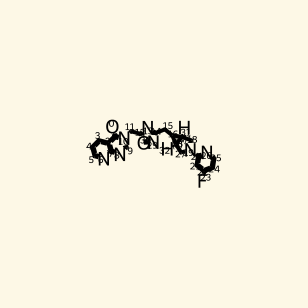 O=c1c2cccnc2ncn1Cc1nc(CC2[C@H]3CN(c4cc(F)ccn4)C[C@@H]23)no1